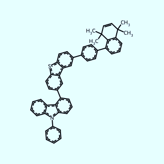 CC1(C)C=CC(C)(C)c2c(-c3ccc(-c4ccc5sc6ccc(-c7cccc8c7c7ccccc7n8-c7ccccc7)cc6c5c4)cc3)cccc21